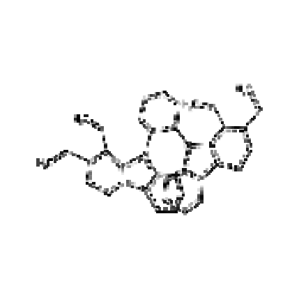 C=Cc1ccc2c3ccccc3n(-c3ccccc3-n3c4ccccc4c4ccc(C=C)c(C=C)c43)c2c1C=C